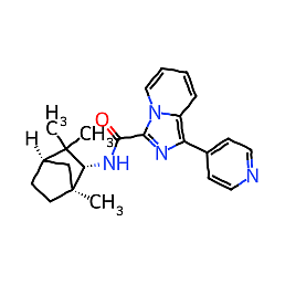 CC1(C)[C@@H]2CC[C@@](C)(C2)[C@H]1NC(=O)c1nc(-c2ccncc2)c2ccccn12